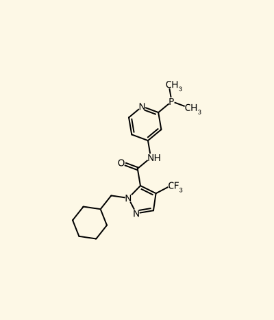 CP(C)c1cc(NC(=O)c2c(C(F)(F)F)cnn2CC2CCCCC2)ccn1